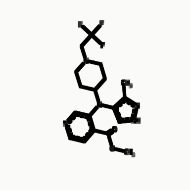 COC(=O)c1ccncc1N(c1c[nH]nc1C)C1CCN(CC(F)(F)F)CC1